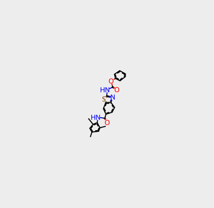 Cc1cc(C)c(NC(=O)c2ccc3nc(NC(=O)Oc4ccccc4)sc3c2)c(C)c1